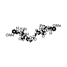 COc1cccc2[nH]c(C(=O)N[C@@H](CC(C)C)C(=O)N[C@@H](C[C@@H]3CCN([C@@H](C)COC(=O)OC[C@H](C)N4CC[C@@H](C[C@H](NC(=O)[C@H](CC(C)C)NC(=O)c5cc6c(OC)cccc6[nH]5)c5coc(=O)o5)C4=O)C3=O)c3coc(=O)o3)cc12